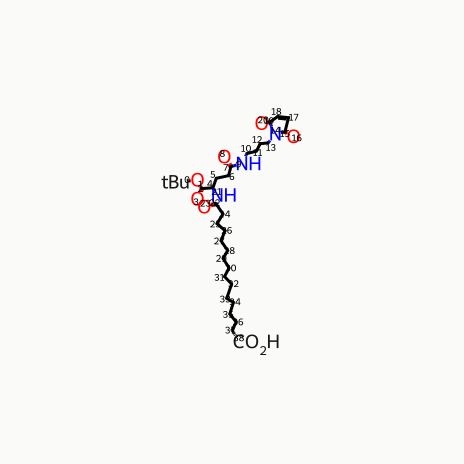 CC(C)(C)OC(=O)C(CCC(=O)NCCCCN1C(=O)C=CC1=O)NC(=O)CCCCCCCCCCCCCCC(=O)O